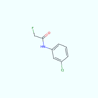 O=C(CF)Nc1cccc(Cl)c1